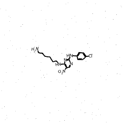 NCCCCCCNc1nc(Nc2ccc(Cl)cc2)ncc1[N+](=O)[O-]